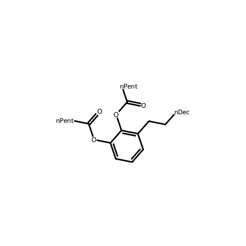 CCCCCCCCCCCCc1cccc(OC(=O)CCCCC)c1OC(=O)CCCCC